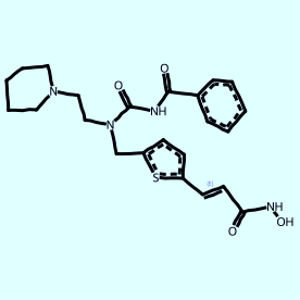 O=C(/C=C/c1ccc(CN(CCN2CCCCC2)C(=O)NC(=O)c2ccccc2)s1)NO